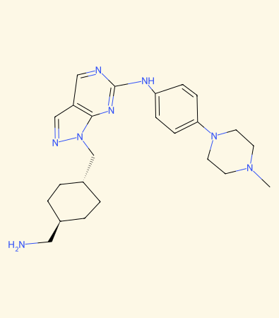 CN1CCN(c2ccc(Nc3ncc4cnn(C[C@H]5CC[C@H](CN)CC5)c4n3)cc2)CC1